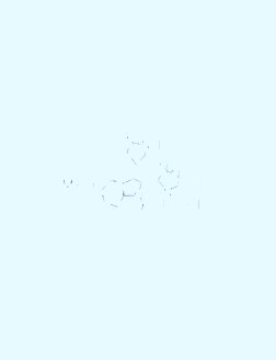 COc1cc2c(-c3cn[nH]c3)c(-c3nnc([C@@H](C)F)[nH]3)n(C)c2c(F)c1Cl